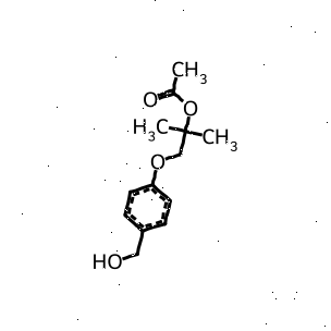 CC(=O)OC(C)(C)COc1ccc(CO)cc1